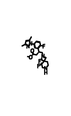 COC(=O)C[C@H](CN1CC2(CCNCC2(F)F)C1)c1cc(-n2nc(C)cc2C)ccc1F